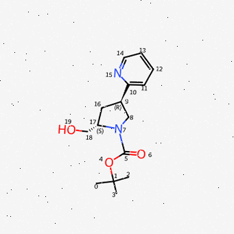 CC(C)(C)OC(=O)N1C[C@H](c2ccccn2)C[C@H]1CO